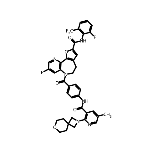 Cc1cnc(N2CC3(CCOCC3)C2)c(C(=O)Nc2ccc(C(=O)N3CCc4cc(C(=O)Nc5c(F)cccc5C(F)(F)F)oc4-c4ncc(F)cc43)cc2)c1